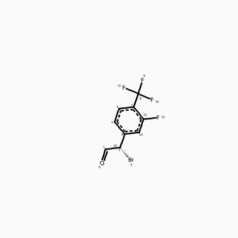 O=C[C@@H](Br)c1ccc(C(F)(F)F)c(F)c1